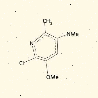 CNc1cc(OC)c(Cl)nc1C